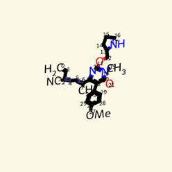 C=C/C(C#N)=C\C=C(/C)c1nc(OCC2CCCN2)n(C)c(=O)c1-c1ccc(OC)cc1